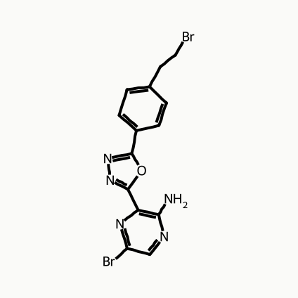 Nc1ncc(Br)nc1-c1nnc(-c2ccc(CCBr)cc2)o1